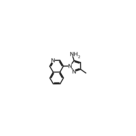 Cc1cc(N)n(-c2cncc3ccccc23)n1